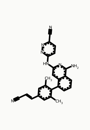 Cc1cc(C=CC#N)cc(C)c1-c1cccc2c(N)nc(Nc3ccc(C#N)nn3)cc12